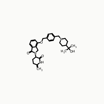 C=C1CCC(N2Cc3c(OCc4ccc(CN5CCC(C(C)(C)O)CC5)cc4)cccc3C2=O)C(=O)N1